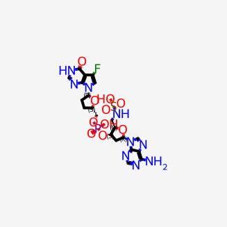 Nc1ncnc2c1ncn2[C@H]1C[C@H](OP(=O)(O)OC[C@@H]2CC[C@H](n3cc(F)c4c(=O)[nH]cnc43)O2)[C@@H](CNS(=O)(=O)O)O1